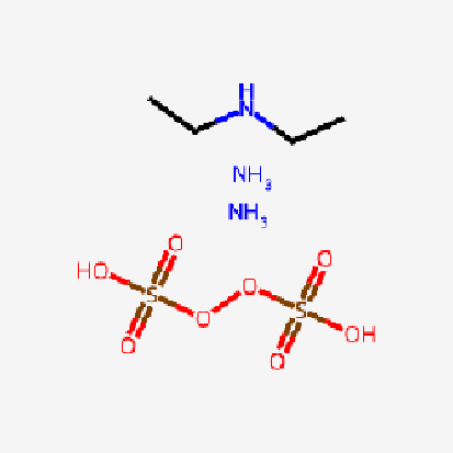 CCNCC.N.N.O=S(=O)(O)OOS(=O)(=O)O